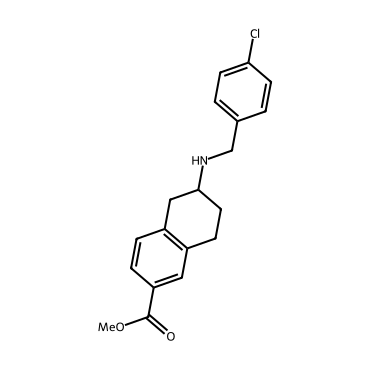 COC(=O)c1ccc2c(c1)CCC(NCc1ccc(Cl)cc1)C2